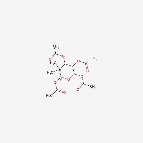 CC(=O)OC1O[SiH](OC(C)=O)[Si](C)(C)C(OC(C)=O)C1OC(C)=O